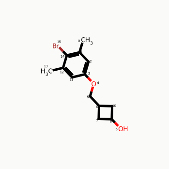 Cc1cc(OCC2CC(O)C2)cc(C)c1Br